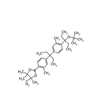 CCC(CC)(O[Si](C)(C)C)c1ccc(C(CC)(CC)c2ccc(B3OC(C)(C)C(C)(C)O3)c(C)c2)cc1C